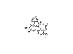 COc1ccc(C2=CC(=O)C(Br)Oc3c2cc(OC)c(OC)c3OC)cc1OSC